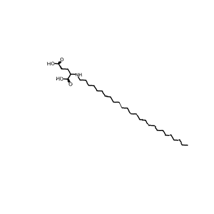 CCCCCCCCCCCCCCCCCCCCCCCCCCNC(CCC(=O)O)C(=O)O